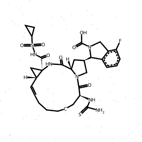 NC(=S)N[C@H]1CCCCC/C=C\[C@@H]2C[C@@]2(C(=O)NS(=O)(=O)C2CC2)NC(=O)[C@@H]2C[C@@H](C3c4cccc(F)c4CN3C(=O)O)CN2C1=O